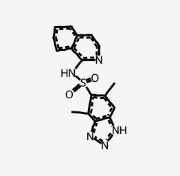 Cc1cc2[nH]nnc2c(C)c1S(=O)(=O)Nc1nccc2ccccc12